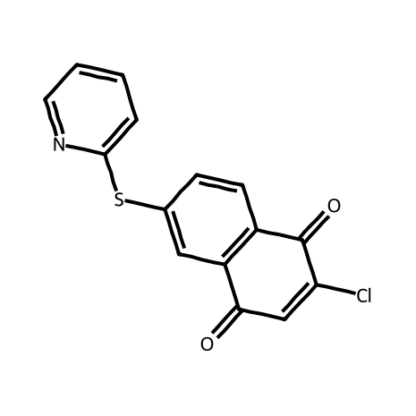 O=C1C=C(Cl)C(=O)c2ccc(Sc3ccccn3)cc21